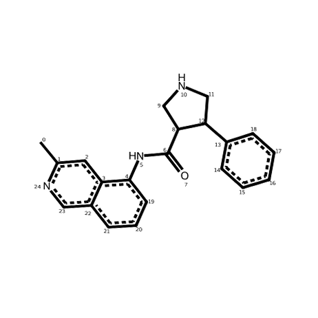 Cc1cc2c(NC(=O)C3CNCC3c3ccccc3)cccc2cn1